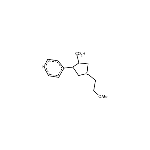 COCCN1CC(C(=O)O)C(c2ccncc2)C1